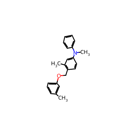 Cc1cccc(OCc2ccc(N(C)c3ccccc3)cc2C)c1